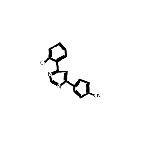 N#Cc1ccc(-c2cc(-c3ccccc3Cl)ncn2)cc1